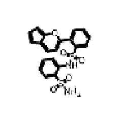 NS(=O)(=O)c1ccccc1NS(=O)(=O)c1ccccc1-c1ccc2cccc-2o1